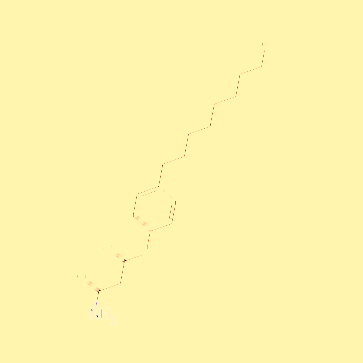 CCCCCCCCCc1ccc(OC(=O)CC(N)=O)cc1